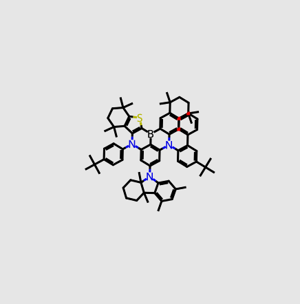 Cc1cc(C)c2c(c1)N(c1cc3c4c(c1)N(c1ccc(C(C)(C)C)cc1)c1c(sc5c1C(C)(C)CCC5(C)C)B4c1cc4c(cc1N3c1ccc(C(C)(C)C)cc1-c1ccccc1)C(C)(C)CCC4(C)C)C1(C)CCCCC21C